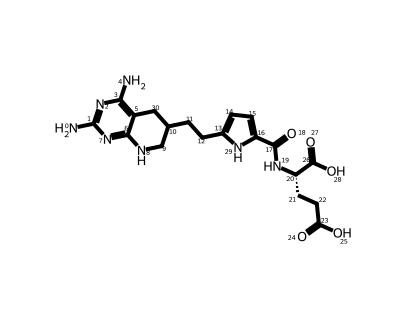 Nc1nc(N)c2c(n1)NCC(CCc1ccc(C(=O)N[C@@H](CCC(=O)O)C(=O)O)[nH]1)C2